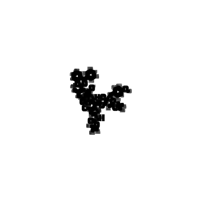 COc1ccc(COC(=O)[C@H](CC(=O)OC(C)(C)C)ON=C(C(=O)N[C@@H]2C(=O)N3C(C(=O)OC(c4ccccc4)c4ccccc4)=C(CI)C[S@@+]([O-])[C@H]23)c2nc(NC(=O)OC(C)(C)C)sc2Cl)cc1